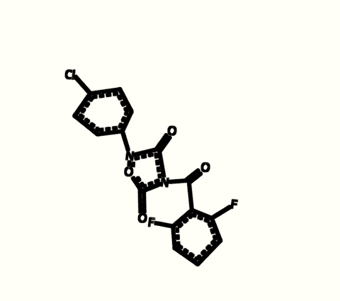 O=C(c1c(F)cccc1F)n1c(=O)on(-c2ccc(Cl)cc2)c1=O